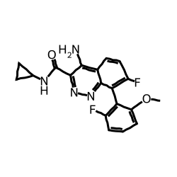 COc1cccc(F)c1-c1c(F)ccc2c(N)c(C(=O)NC3CC3)nnc12